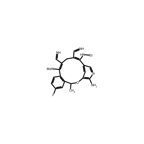 CCN/C1=C(\C=N)C/C(C=N)=C(/NC)c2ccc(F)cc2C(C)Oc2cc1cnc2N